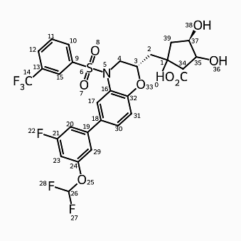 O=C(O)C1(C[C@H]2CN(S(=O)(=O)c3cccc(C(F)(F)F)c3)c3cc(-c4cc(F)cc(OC(F)F)c4)ccc3O2)CC(O)[C@H](O)C1